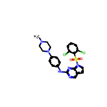 CN1CCN(c2ccc(Nc3ncc4ccn(S(=O)(=O)c5c(Cl)cccc5Cl)c4n3)cc2)CC1